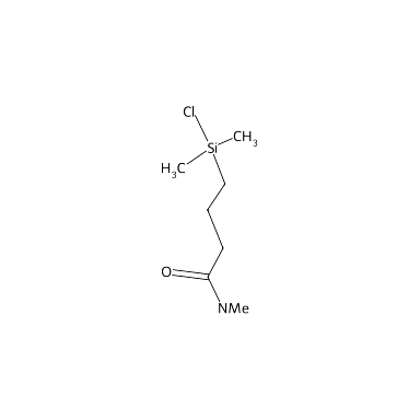 CNC(=O)CCC[Si](C)(C)Cl